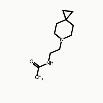 O=C(NCCN1CCC2(CC1)CC2)C(F)(F)F